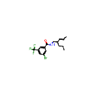 CCCC(CCC)CNC(=O)c1cc(Br)cc(C(F)(F)F)c1